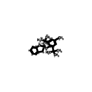 Cc1cc(C(C)(C)C)c(OP2(=O)Cc3ccccc3O2)c(C(C)(C)C)c1